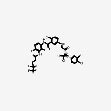 O=C(CCC(F)(F)C(F)(F)F)Nc1c(F)ccc(NC(=O)c2cc(NCC(=O)[C@H]3[C@H](c4ccc(Cl)c(Cl)c4)C3(Cl)Cl)ccc2Cl)c1F